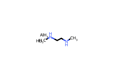 CNCCNC.[AlH3].[LiH]